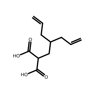 C=CCC(CC=C)CC(C(=O)O)C(=O)O